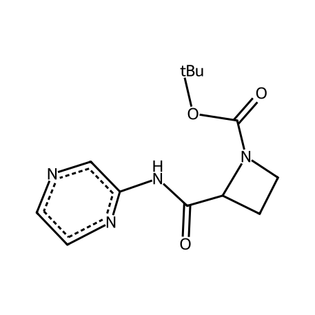 CC(C)(C)OC(=O)N1CCC1C(=O)Nc1cnccn1